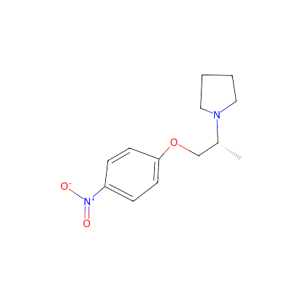 C[C@H](COc1ccc([N+](=O)[O-])cc1)N1CCCC1